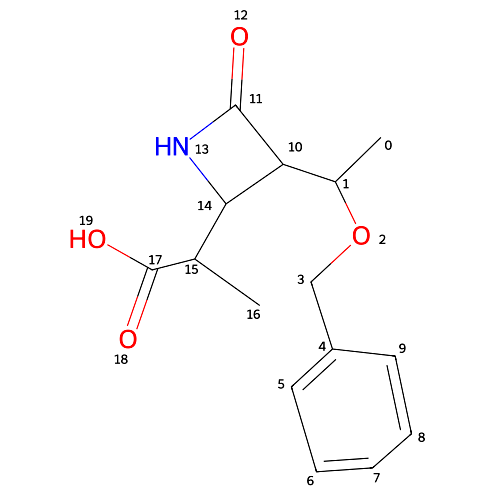 CC(OCc1ccccc1)C1C(=O)NC1C(C)C(=O)O